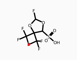 O=S(=O)(O)C1OC(F)OC1(C(F)(F)F)C(F)(F)F